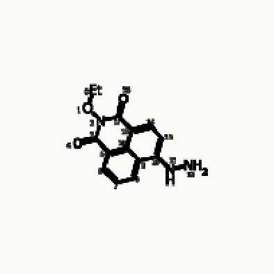 CCON1C(=O)c2cccc3c(NN)ccc(c23)C1=O